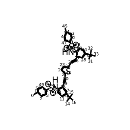 Cc1ccc(S(=O)(=O)Nc2ccc(C(C)(C)C)cc2C#Cc2ccc(C#Cc3cc(C(C)(C)C)ccc3NS(=O)(=O)c3ccc(C)cc3)s2)cc1